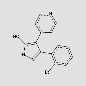 CCc1ccccc1C1=N[N]C(O)=C1c1ccncc1